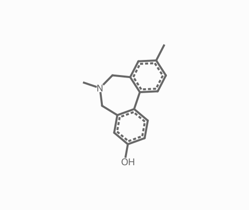 Cc1ccc2c(c1)CN(C)Cc1cc(O)ccc1-2